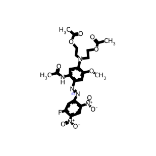 COc1cc(/N=N/c2cc(F)c([N+](=O)[O-])cc2[N+](=O)[O-])c(NC(C)=O)cc1N(CCOC(C)=O)CCOC(C)=O